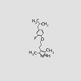 Cc1n[nH]c(C)c1CCCOc1ccc(CC(C)C)cc1F